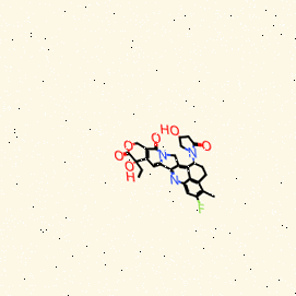 CC[C@@]1(O)C(=O)OCc2c1cc1n(c2=O)Cc2c-1nc1cc(F)c(C)c3c1c2[C@@H](N1CC(O)CC1=O)CC3